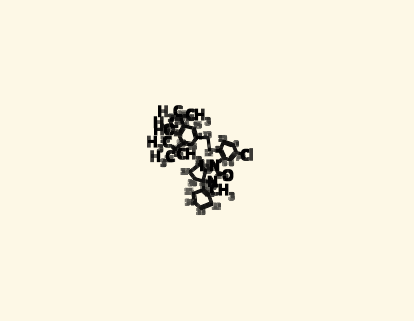 CN(C(=O)Nc1cc(Cl)ccc1CCc1cc(C(C)(C)C)c(O)c(C(C)(C)C)c1)C1(c2ccccc2)CCCC1